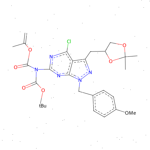 C=C(C)OC(=O)N(C(=O)OC(C)(C)C)c1nc(Cl)c2c(CC3COC(C)(C)O3)nn(Cc3ccc(OC)cc3)c2n1